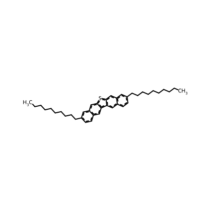 CCCCCCCCCCc1ccc2cc3c(cc2c1)sc1cc2cc(CCCCCCCCCC)ccc2cc13